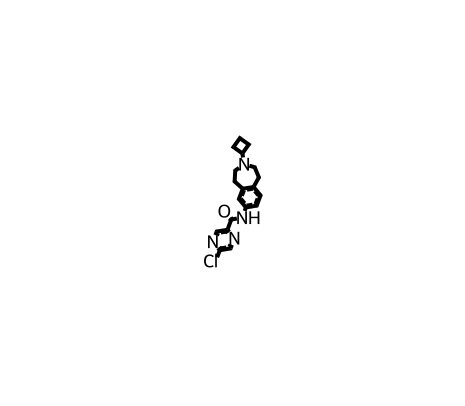 O=C(Nc1ccc2c(c1)CCN(C1CCC1)CC2)c1cnc(Cl)cn1